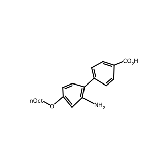 CCCCCCCCOc1ccc(-c2ccc(C(=O)O)cc2)c(N)c1